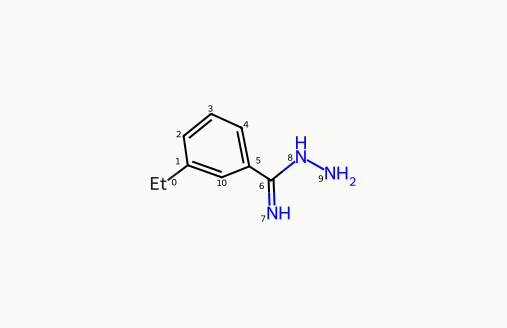 CCc1cccc(C(=N)NN)c1